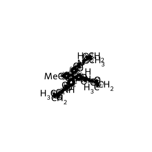 C=C(C)C(=O)OCCNC(=O)Oc1ccc(C(c2ccc(OC)cc2)C(c2ccc(OC(=O)NCCOC(=O)C(=C)C)cc2)c2ccc(OC(=O)NCCOC(=O)C(=C)C)cc2)cc1